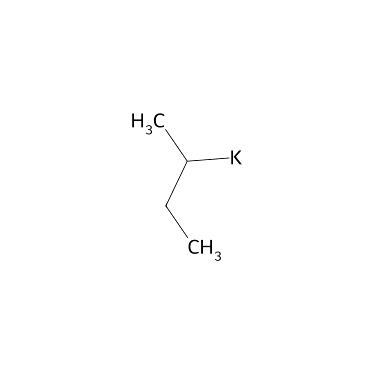 CC[CH](C)[K]